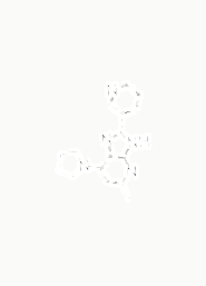 Cc1cc(N2CCCC2)c2nc(-c3cccnc3)[nH]c2n1